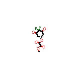 COC(=O)C(=O)OB1CC(=O)C(F)(F)C(=O)C1